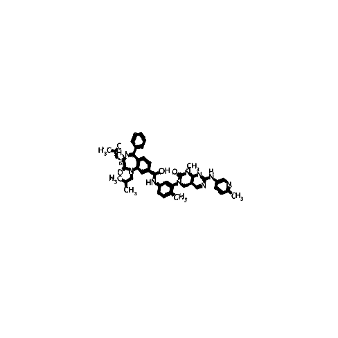 CC1=CCC(NC(O)c2ccc3c(c2)N(CC(C)C)C(=O)[C@H](CC(C)C)N=C3c2ccccc2)C=C1N1CC2C=NC(Nc3ccc(C)nc3)=NC2N(C)C1=O